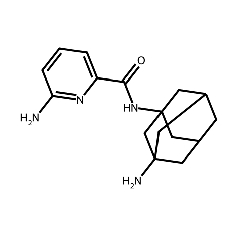 Nc1cccc(C(=O)NC23CC4CC(CC(N)(C4)C2)C3)n1